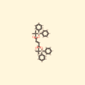 CC(C)(C)[Si](OC(=O)/C=C/C(=O)O[Si](c1ccccc1)(c1ccccc1)C(C)(C)C)(c1ccccc1)c1ccccc1